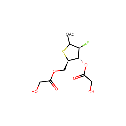 CC(=O)OC1S[C@H](COC(=O)CO)[C@@H](OC(=O)CO)[C@@H]1F